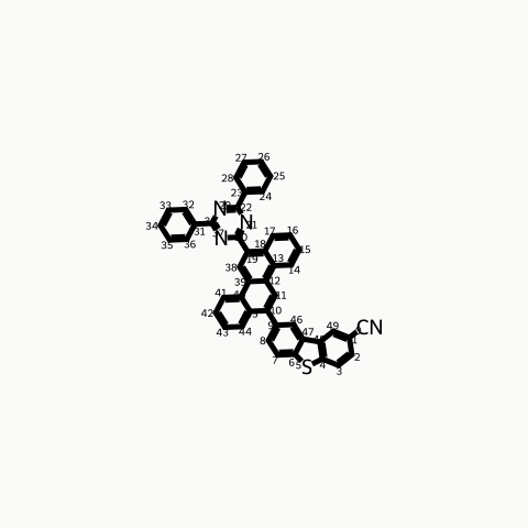 N#Cc1ccc2sc3ccc(-c4cc5c6ccccc6c(-c6nc(-c7ccccc7)nc(-c7ccccc7)n6)cc5c5ccccc45)cc3c2c1